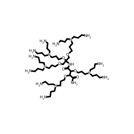 NCCCN(CCCN)CCCOCC(COCCCN(CCCN)CCCN)(NC(=O)C(OCCCN(CCCN)CCCN)C(OCCCN(CCCN)CCCN)C(N)=O)OCCCN(CCCN)CCCN